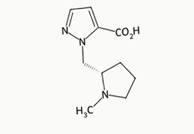 CN1CCC[C@H]1Cn1nccc1C(=O)O